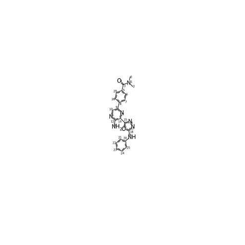 CN(C)C(=O)c1ccc(-c2cnc(N)c(-c3nnc(Nc4ccccc4)o3)n2)cc1